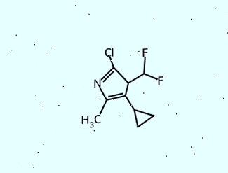 CC1=C(C2CC2)C(C(F)F)C(Cl)=N1